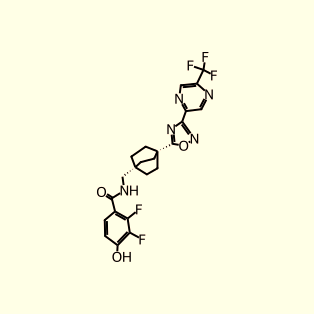 O=C(NC[C@]12CC[C@](c3nc(-c4cnc(C(F)(F)F)cn4)no3)(CC1)CC2)c1ccc(O)c(F)c1F